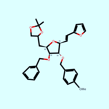 COc1ccc(CO[C@@H]2[C@@H](OCc3ccccc3)[C@@H](CC3COC(C)(C)O3)O[C@H]2C=Cc2ccco2)cc1